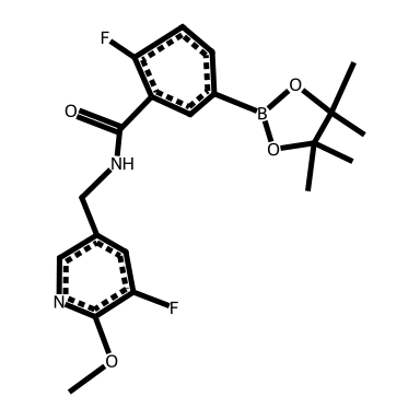 COc1ncc(CNC(=O)c2cc(B3OC(C)(C)C(C)(C)O3)ccc2F)cc1F